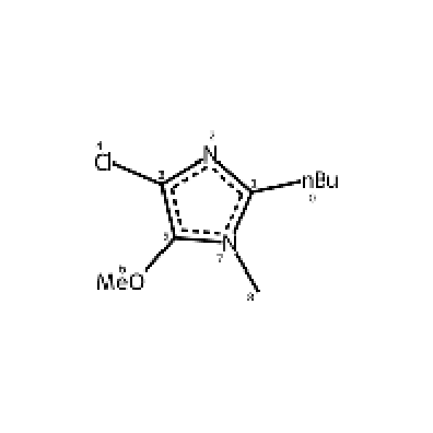 CCCCc1nc(Cl)c(OC)n1C